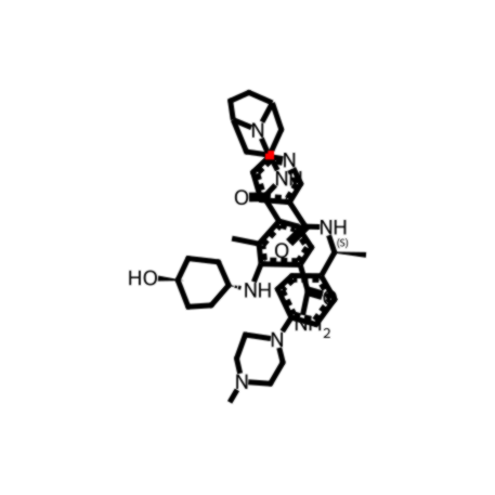 Cc1c(C(=O)NC2CC3CCC(C2)N3c2ccc(C(=O)N[C@@H](C)c3ccc(N4CCN(C)CC4)cc3)cn2)ccc(C(N)=O)c1N[C@H]1CC[C@H](O)CC1